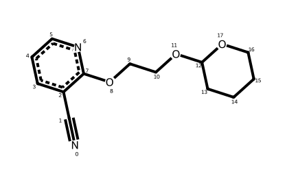 N#Cc1cccnc1OCCOC1CCCCO1